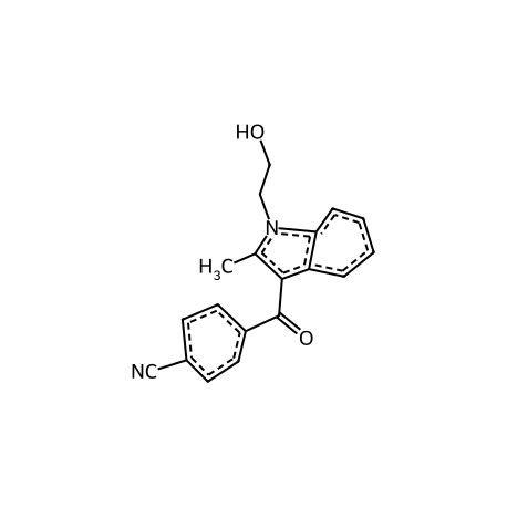 Cc1c(C(=O)c2ccc(C#N)cc2)c2ccccc2n1CCO